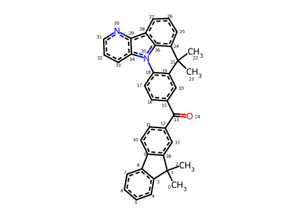 CC1(C)c2ccccc2-c2ccc(C(=O)c3ccc4c(c3)C(C)(C)c3cccc5c6ncccc6n-4c35)cc21